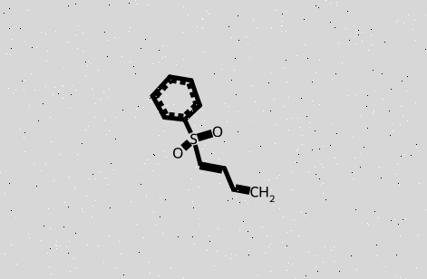 C=CC=CS(=O)(=O)c1ccccc1